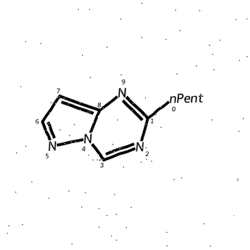 CCCCCc1n[c]n2nccc2n1